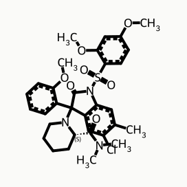 COc1ccc(S(=O)(=O)N2C(=O)C(c3ccccc3OC)(N3CCCC[C@H]3C(=O)N(C)C)c3cc(Cl)c(C)cc32)c(OC)c1